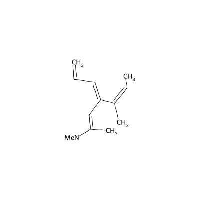 C=C/C=C(\C=C(/C)NC)C(/C)=C\C